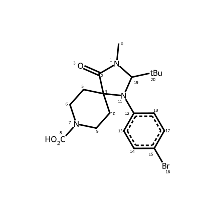 CN1C(=O)C2(CCN(C(=O)O)CC2)N(c2ccc(Br)cc2)C1C(C)(C)C